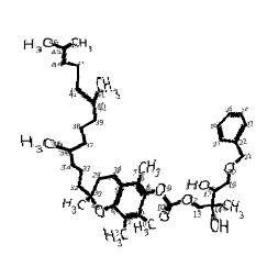 Cc1c(C)c2c(c(C)c1OC(=O)OCC(C)(O)C(O)COCc1ccccc1)CCC(C)(CCCC(C)CCCC(C)CCCC(C)C)O2